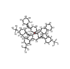 CC(C)(C)c1ccc2c(c1)c1c3ccccc3cc3c4cc5c(cc4n2c31)c1cc(C(C)(C)C)cc2c3cc(C(C)(C)C)cc(N(c4ccccc4)c4ccccc4)c3n5c12